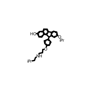 CC(C)CCNCCCOc1ccc(C2c3cc(OC(C)C)ccc3-c3ccc4cc(O)ccc4c32)cc1